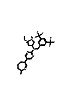 CC[C@@H]1CC(N(Cc2cc(C(F)(F)F)cc(C(F)(F)F)c2)c2ncc(C3C=NC(C)CCC3)cn2)CN1